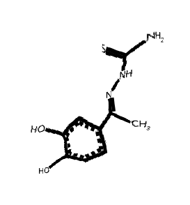 CC(=NNC(N)=S)c1ccc(O)c(O)c1